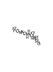 FC(F)(F)c1ccc(/N=N/c2ccc(NNc3ccc(NNc4ccc(N5CCCC5)s4)c4ccccc34)cc2)cc1